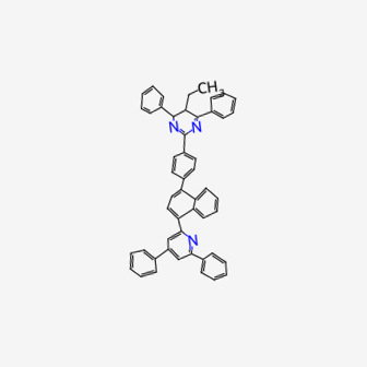 CCC1C(c2ccccc2)=NC(c2ccc(-c3ccc(-c4cc(-c5ccccc5)cc(-c5ccccc5)n4)c4ccccc34)cc2)=NC1c1ccccc1